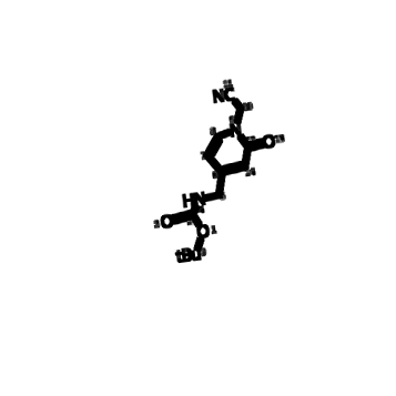 CC(C)(C)OC(=O)NCc1ccn(CC#N)c(=O)c1